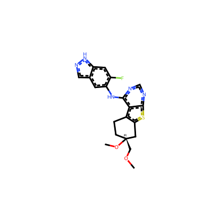 COC[C@@]1(OC)CCc2c(sc3ncnc(Nc4cc5cn[nH]c5cc4F)c23)C1